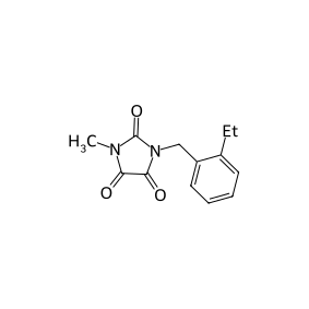 CCc1ccccc1CN1C(=O)C(=O)N(C)C1=O